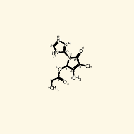 CCC(=O)OC1C(C)=C(Cl)C(=O)N1c1nnc[nH]1